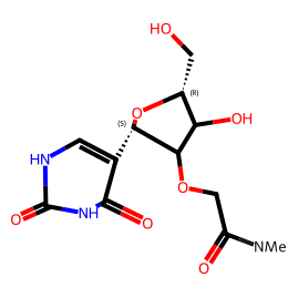 CNC(=O)COC1C(O)[C@@H](CO)O[C@H]1c1c[nH]c(=O)[nH]c1=O